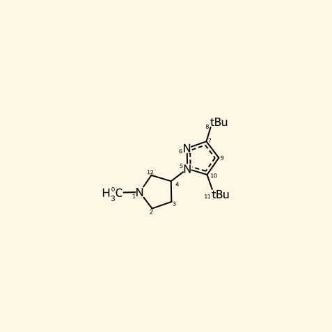 CN1CCC(n2nc(C(C)(C)C)cc2C(C)(C)C)C1